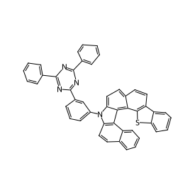 c1ccc(-c2nc(-c3ccccc3)nc(-c3cccc(-n4c5ccc6ccccc6c5c5c6c(ccc7c8ccccc8sc76)ccc54)c3)n2)cc1